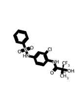 C[C@@](O)(C(=O)Nc1ccc(NS(=O)(=O)c2ccccc2)cc1Cl)C(F)(F)F